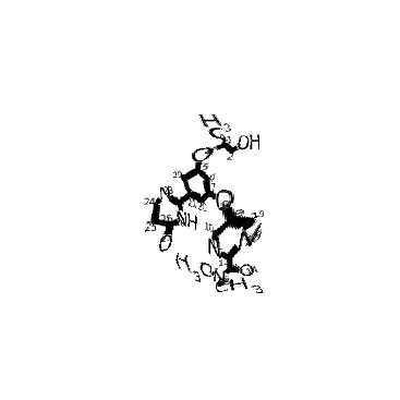 C[C@@H](CO)Oc1cc(Oc2cnc(C(=O)N(C)C)nc2)cc(-c2nccc(=O)[nH]2)c1